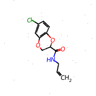 C=CCNC(=O)C1COc2cc(Cl)ccc2O1